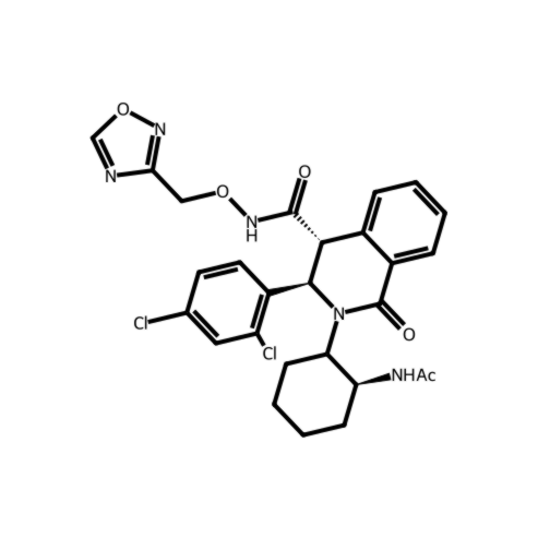 CC(=O)N[C@H]1CCCCC1N1C(=O)c2ccccc2[C@@H](C(=O)NOCc2ncon2)[C@@H]1c1ccc(Cl)cc1Cl